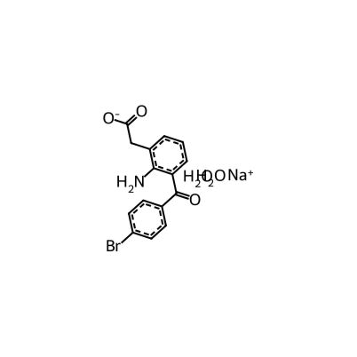 Nc1c(CC(=O)[O-])cccc1C(=O)c1ccc(Br)cc1.O.O.[Na+]